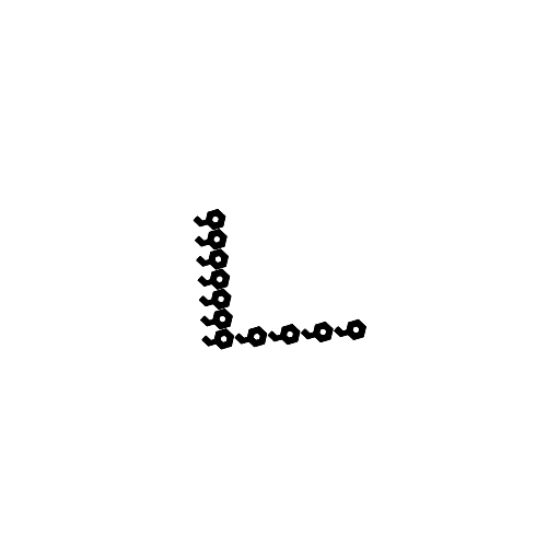 C=Cc1ccccc1.C=Cc1ccccc1.C=Cc1ccccc1.C=Cc1ccccc1.C=Cc1ccccc1.C=Cc1ccccc1.C=Cc1ccccc1.C=Cc1ccccc1.C=Cc1ccccc1.C=Cc1ccccc1.C=Cc1ccccc1